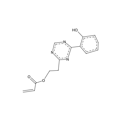 C=CC(=O)OCCc1ncnc(-c2ccccc2O)n1